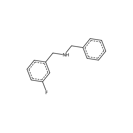 Fc1cccc(CNCc2ccccc2)c1